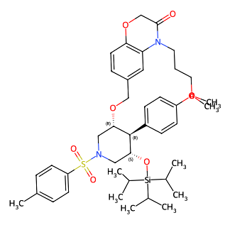 COCCCN1C(=O)COc2ccc(CO[C@H]3CN(S(=O)(=O)c4ccc(C)cc4)C[C@@H](O[Si](C(C)C)(C(C)C)C(C)C)[C@@H]3c3ccc(OC)cc3)cc21